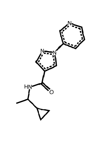 CC(NC(=O)c1cnn(-c2cccnc2)c1)C1CC1